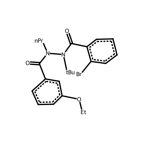 CCCN(C(=O)c1cccc(OCC)c1)N(C(=O)c1ccccc1Br)C(C)(C)C